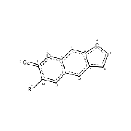 O=c1oc2cc3occc3cc2cc1Br